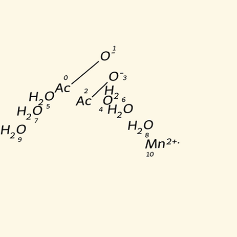 CC(=O)[O-].CC(=O)[O-].O.O.O.O.O.O.[Mn+2]